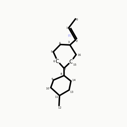 C/C=C/C1CCCC(C2CCC(C)CC2)CC1